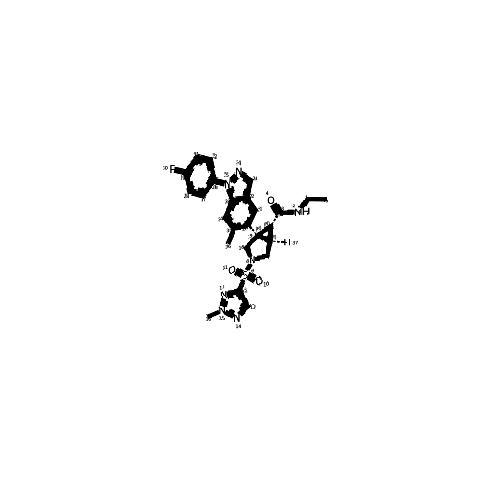 CCNC(=O)[C@@H]1[C@H]2CN(S(=O)(=O)c3cnn(C)n3)C[C@]21c1cc2cnn(-c3ccc(F)cc3)c2cc1C